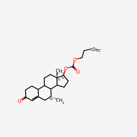 CCCCCCCCCCCCOC(=O)O[C@H]1CCC2C3C(CC[C@@]21C)C1CCC(=O)C=C1C[C@H]3C